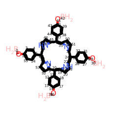 BOc1ccc(-c2c3nc(c(-c4ccc(OB)cc4)c4ccc([nH]4)c(-c4ccc(OB)cc4)c4nc(c(-c5ccc(OB)cc5)c5ccc2[nH]5)C=C4)C=C3)cc1